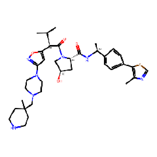 Cc1ncsc1-c1ccc([C@H](C)NC(=O)[C@@H]2C[C@@H](O)CN2C(=O)[C@@H](c2cc(N3CCN(CC4(C)CCNCC4)CC3)no2)C(C)C)cc1